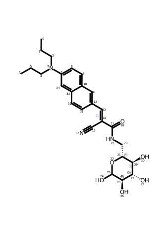 CCCN(CCC)c1ccc2cc(/C=C(\C#N)C(=O)NC[C@H]3OC(O)[C@H](O)[C@@H](O)[C@@H]3O)ccc2c1